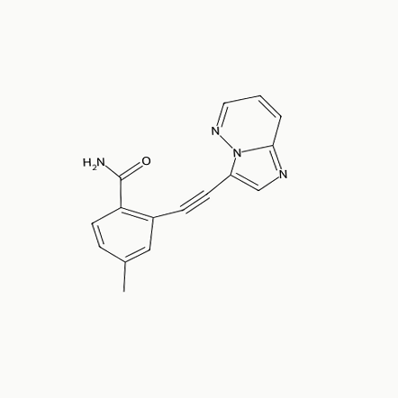 Cc1ccc(C(N)=O)c(C#Cc2cnc3cccnn23)c1